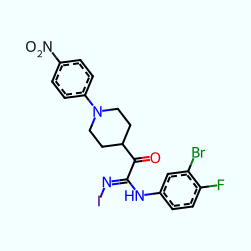 O=C(/C(=N/I)Nc1ccc(F)c(Br)c1)C1CCN(c2ccc([N+](=O)[O-])cc2)CC1